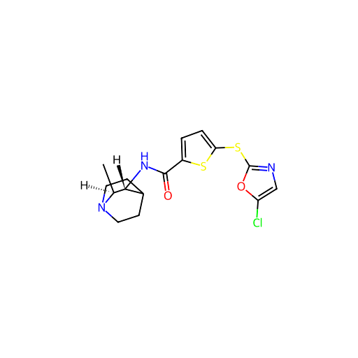 C[C@H]1[C@H](NC(=O)c2ccc(Sc3ncc(Cl)o3)s2)C2CCN1CC2